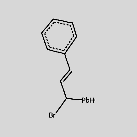 Br[CH]([PbH])/C=C/c1ccccc1